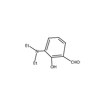 CCN(CC)c1cccc([C]=O)c1O